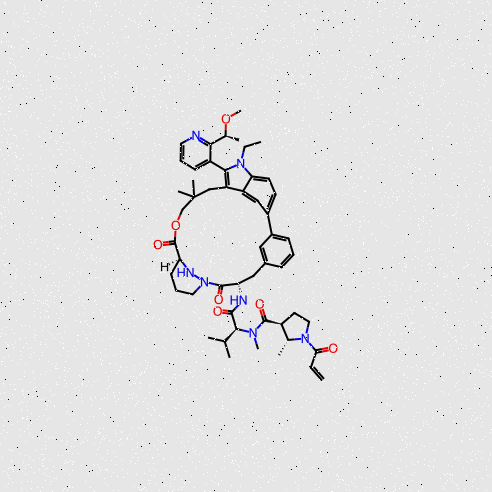 C=CC(=O)N1CC[C@H](C(=O)N(C)[C@H](C(=O)N[C@H]2Cc3cccc(c3)-c3ccc4c(c3)c(c(-c3cccnc3[C@H](C)OC)n4CC)CC(C)(C)COC(=O)[C@@H]3CCCN(N3)C2=O)C(C)C)[C@H]1C